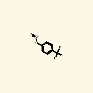 O=[SH]Oc1ccc(C(F)(F)F)cc1